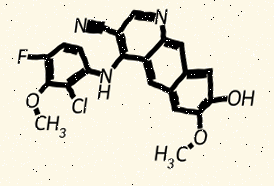 COc1cc2cc3c(Nc4ccc(F)c(OC)c4Cl)c(C#N)cnc3cc2cc1O